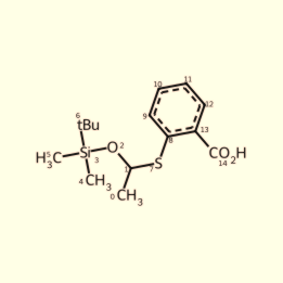 CC(O[Si](C)(C)C(C)(C)C)Sc1ccccc1C(=O)O